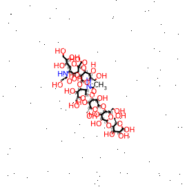 CC(=O)N[C@H]1[C@H](O[C@H]2[C@@H](O)[C@@H](CO)O[C@H](O[C@@H]3[C@H](O)[C@@H](O)[C@H](O[C@H]4[C@H](O)[C@@H](O)[C@H](O)O[C@@H]4CO)O[C@@H]3CO)[C@@H]2O)O[C@H](CO)[C@H](O)[C@@H]1O[C@@H]1O[C@H](CO)[C@H](O)[C@H](O[C@]2(C(=O)O)C[C@H](O)[C@@H](NC(=O)CO)[C@H]([C@H](O)[C@H](O)CO)O2)[C@H]1O